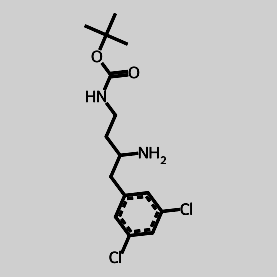 CC(C)(C)OC(=O)NCCC(N)Cc1cc(Cl)cc(Cl)c1